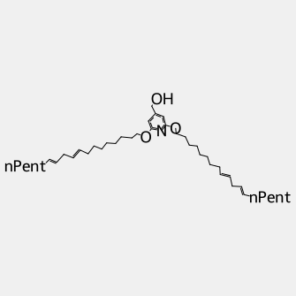 CCCCCC=CCC=CCCCCCCCCOc1cc(CO)cc(OCCCCCCCCC=CCC=CCCCCC)n1